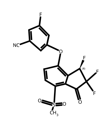 CS(=O)(=O)c1ccc(Oc2cc(F)cc(C#N)c2)c2c1C(=O)C(F)(F)[C@@H]2F